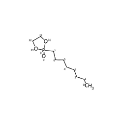 CCCCCCCCP1(=O)OCCO1